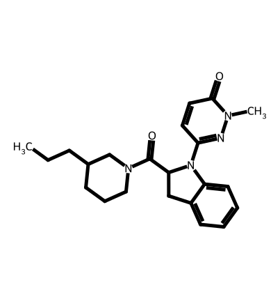 CCCC1CCCN(C(=O)C2Cc3ccccc3N2c2ccc(=O)n(C)n2)C1